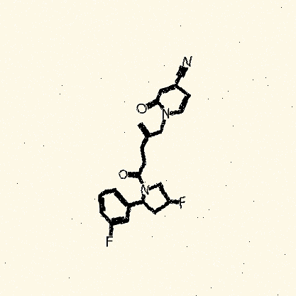 C=C(CCC(=O)N1CC(F)CC1c1cccc(F)c1)Cn1ccc(C#N)cc1=O